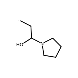 [CH2]CC(O)N1CCCC1